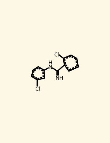 N=C(Nc1cccc(Cl)c1)c1ccccc1Cl